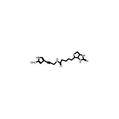 O=Cc1cc(C#CCNC(=O)CCCCC2SCC3NC(=O)NC32)c[nH]1